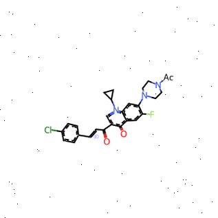 CC(=O)N1CCN(c2cc3c(cc2F)c(=O)c(C(=O)/C=C/c2ccc(Cl)cc2)cn3C2CC2)CC1